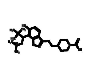 C[SiH](C)OC(c1c(O)ccc2c(CCC3CCN(C(=O)O)CC3)noc12)C(C)(C)C